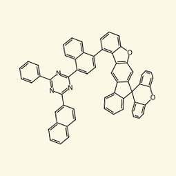 c1ccc(-c2nc(-c3ccc4ccccc4c3)nc(-c3ccc(-c4cccc5oc6cc7c(cc6c45)-c4ccccc4C74c5ccccc5Oc5ccccc54)c4ccccc34)n2)cc1